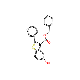 O=C(OCc1ccccc1)c1c(-c2ccccc2)sc2ccc(O)cc12